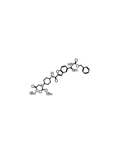 CC(C)(C)OC(=O)CN(C(=O)OC(C)(C)C)C1CCC(NC(=O)c2cc3cc(C(=N)NC(=O)OCc4ccccc4)ccc3o2)CC1